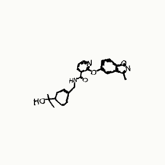 Cc1noc2ccc(Oc3ncccc3C(=O)NCC3CCC(C(C)(C)O)CC3)cc12